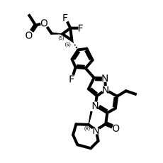 CCc1cc(C(=O)N2CCCCC[C@H]2C)nc2cc(-c3ccc([C@@H]4[C@@H](COC(C)=O)C4(F)F)cc3F)nn12